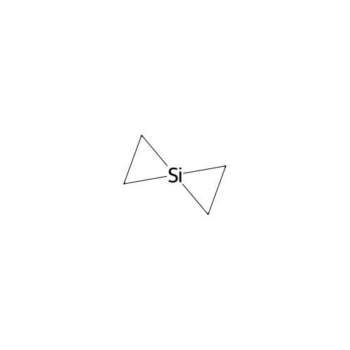 C1C[Si]12CC2